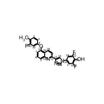 Cc1ccc(Oc2cccc3nc(-c4cn(-c5cc(F)c(O)c(F)c5)nn4)ccc23)cc1F